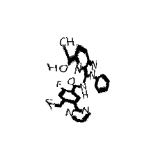 CC(O)c1ccc2nn(-c3ccccc3)c(NC(=O)c3cc(-c4ncccn4)c(CF)cc3F)c2n1